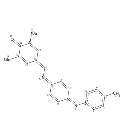 Cc1ccc(N=C2C=CC(=NC=C3C=C(C(C)(C)C)C(=O)C(C(C)(C)C)=C3)C=C2)cc1